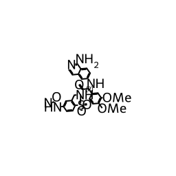 COc1ccc([C@@H](Nc2ccc3c(N)nccc3c2)C(=O)NCc2cc(NC(=O)N(C)C)ccc2S(=O)(=O)I)cc1OC